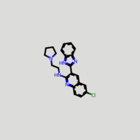 Clc1ccc2nc(NCCN3CCCC3)c(-c3nc4ccccc4[nH]3)cc2c1